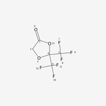 O=C1COC(C(F)(F)F)(C(F)(F)F)O1